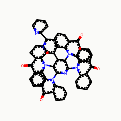 O=c1c2ccccc2n(-c2nc(-n3c4ccccc4c(=O)c4ccccc43)c(-n3c4ccccc4c(=O)c4ccccc43)c(-c3ccc(-c4ccccn4)nc3)c2-n2c3ccccc3c(=O)c3ccccc32)c2ccccc12